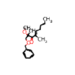 CCCCCC(C)C(=O)C(C)(COCc1ccccc1)OC